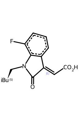 CC[C@H](C)CN1C(=O)/C(=C/C(=O)O)c2cccc(F)c21